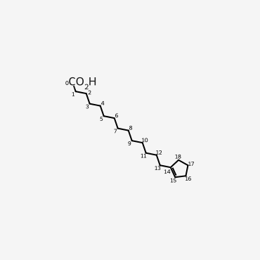 O=C(O)CCCCCCCCCCCCCC1=CCCC1